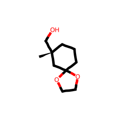 C[C@@]1(CO)CCCC2(C1)OCCO2